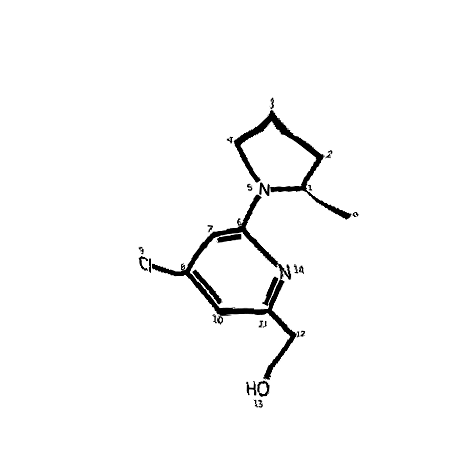 C[C@@H]1CCCN1c1cc(Cl)cc(CO)n1